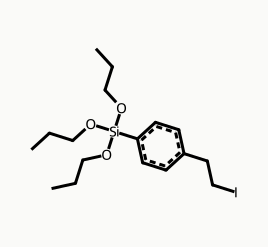 CCCO[Si](OCCC)(OCCC)c1ccc(CCI)cc1